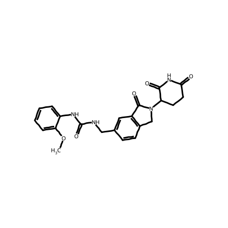 COc1ccccc1NC(=O)NCc1ccc2c(c1)C(=O)N(C1CCC(=O)NC1=O)C2